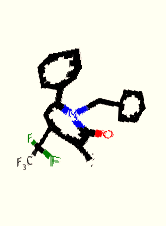 [C]c1c(C(F)(F)C(F)(F)F)cc(-c2ccccc2)n(Cc2ccccc2)c1=O